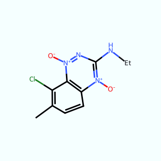 CCNc1n[n+]([O-])c2c(Cl)c(C)ccc2[n+]1[O-]